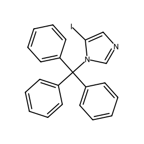 Ic1cncn1C(c1ccccc1)(c1ccccc1)c1ccccc1